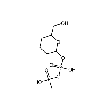 CP(=O)(O)OP(=O)(O)OC1CCCC(CO)O1